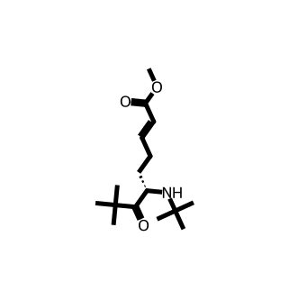 COC(=O)/C=C/CC[C@H](NC(C)(C)C)C(=O)C(C)(C)C